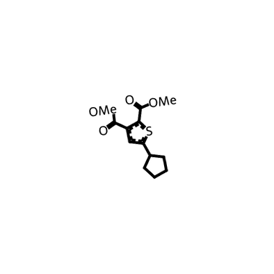 COC(=O)c1cc(C2CCCC2)sc1C(=O)OC